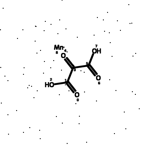 O=C(O)C(=O)C(=O)O.[Mn]